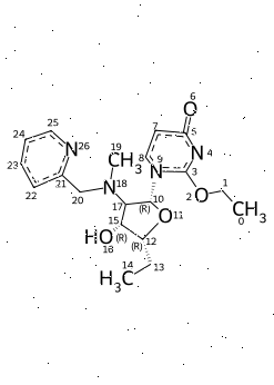 CCOc1nc(=O)ccn1[C@@H]1O[C@H](CC)[C@H](O)C1N(C)Cc1ccccn1